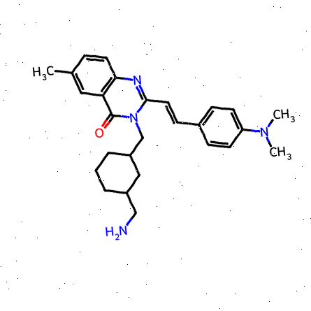 Cc1ccc2nc(C=Cc3ccc(N(C)C)cc3)n(CC3CCCC(CN)C3)c(=O)c2c1